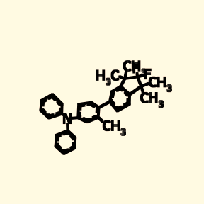 Cc1cc(N(c2ccccc2)c2ccccc2)ccc1-c1ccc2c(c1)C(C)(C)C(F)(F)C2(C)C